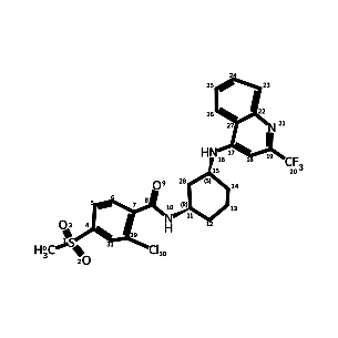 CS(=O)(=O)c1ccc(C(=O)N[C@@H]2CCC[C@H](Nc3cc(C(F)(F)F)nc4ccccc34)C2)c(Cl)c1